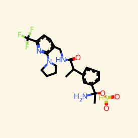 CC(C(=O)NCc1ccc(C(F)(F)F)nc1N1CCCC1)c1cccc(C(C)(N)O[SH](=O)=O)c1